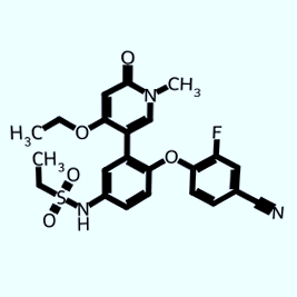 CCOc1cc(=O)n(C)cc1-c1cc(NS(=O)(=O)CC)ccc1Oc1ccc(C#N)cc1F